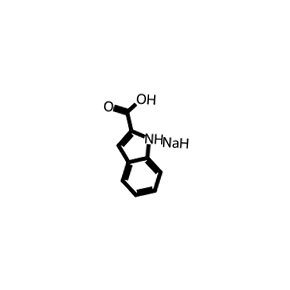 O=C(O)c1cc2ccccc2[nH]1.[NaH]